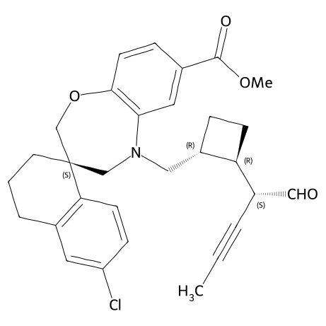 CC#C[C@@H](C=O)[C@@H]1CC[C@H]1CN1C[C@@]2(CCCc3cc(Cl)ccc32)COc2ccc(C(=O)OC)cc21